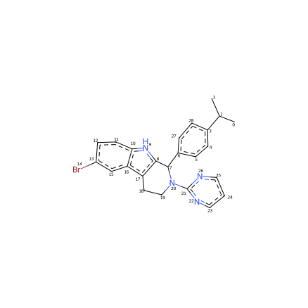 CC(C)c1ccc(C2c3[nH]c4ccc(Br)cc4c3CCN2c2ncccn2)cc1